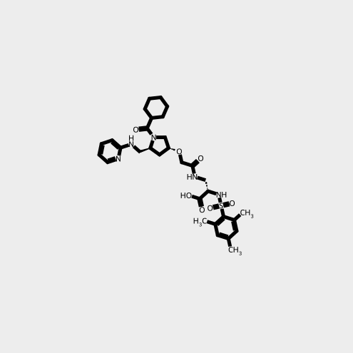 Cc1cc(C)c(S(=O)(=O)N[C@@H](CNC(=O)CO[C@@H]2C[C@@H](CNc3ccccn3)N(C(=O)C3CCCCC3)C2)C(=O)O)c(C)c1